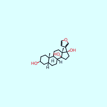 C[C@]12CC[C@H](O)C[C@H]1CC[C@@H]1[C@@H]2CC[C@]2(C)[C@](O)(c3ccoc3)CC[C@]12O